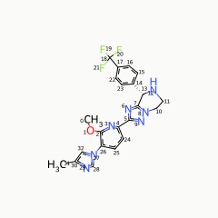 COc1nc(-c2nc3n(n2)CCN[C@H]3c2ccc(C(F)(F)F)cc2)ccc1-n1cnc(C)c1